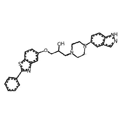 OC(COc1ccc2sc(-c3ccccc3)nc2c1)CN1C[CH]N(c2ccc3[nH]ncc3c2)CC1